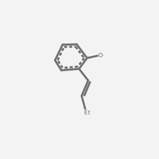 CCC=Cc1ccccc1[O]